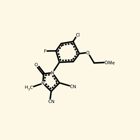 COCOc1cc(-n2c(C#N)c(C#N)n(C)c2=O)c(F)cc1Cl